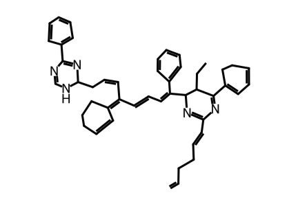 C=CCC/C=C/C1=NC(/C(=C/C=C/C(/C=C\CC2N=C(c3ccccc3)N=CN2)=C2\C=CCCC2)c2ccccc2)C(CC)C(C2=CC=CCC2)=N1